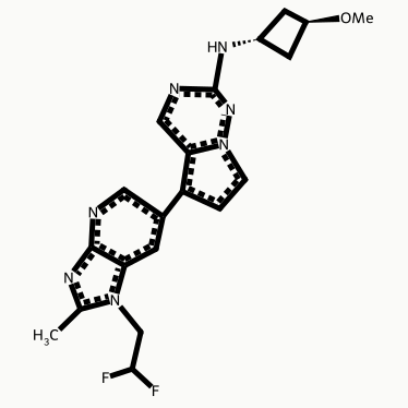 CO[C@H]1C[C@H](Nc2ncc3c(-c4cnc5nc(C)n(CC(F)F)c5c4)ccn3n2)C1